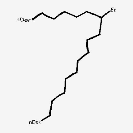 [CH2]CC(CCCCCCCCCCCCCCC)CCCCCCCCCCCCCCCCCCC